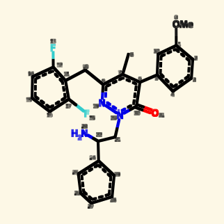 COc1cccc(-c2c(C)c(Cc3c(F)cccc3F)nn(CC(N)c3ccccc3)c2=O)c1